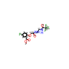 COC(=O)c1cc(F)ccc1OCC(=O)NCCNC(=O)C(F)(F)F